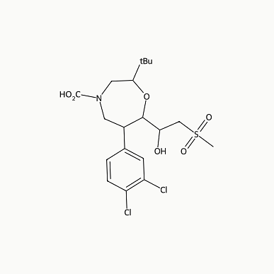 CC(C)(C)C1CN(C(=O)O)CC(c2ccc(Cl)c(Cl)c2)C(C(O)CS(C)(=O)=O)O1